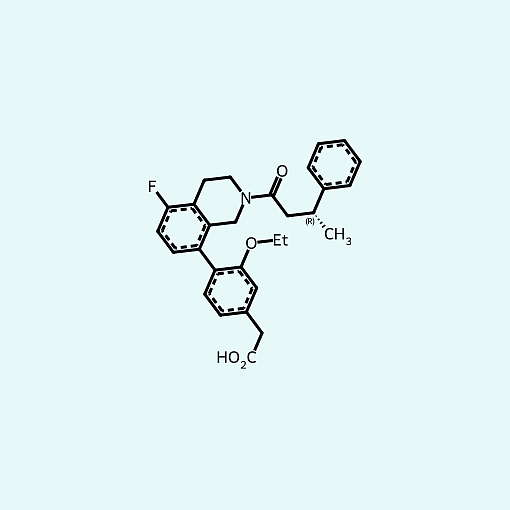 CCOc1cc(CC(=O)O)ccc1-c1ccc(F)c2c1CN(C(=O)C[C@@H](C)c1ccccc1)CC2